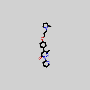 Cc1nn(-c2ccccn2)c(=O)cc1-c1ccc(OCCCN2CCCC2C)cc1